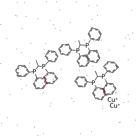 CC(P(c1ccccc1)c1ccccc1)P(c1ccccc1)c1ccccc1.CC(P(c1ccccc1)c1ccccc1)P(c1ccccc1)c1ccccc1.CC(P(c1ccccc1)c1ccccc1)P(c1ccccc1)c1ccccc1.[Cu+].[Cu+]